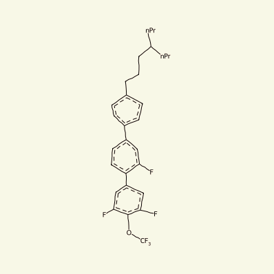 CCCC(CCC)CCCc1ccc(-c2ccc(-c3cc(F)c(OC(F)(F)F)c(F)c3)c(F)c2)cc1